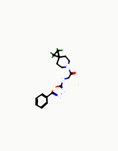 C[C@H](Nc1nnc(-c2ccccc2)o1)C(=O)N1CCC2(CC1)C(F)(F)C2(F)F